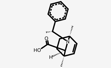 C[C@H](c1ccccc1)N1[C@H](C(=O)O)[C@@]2(C)C=C[C@]1(C)CC2